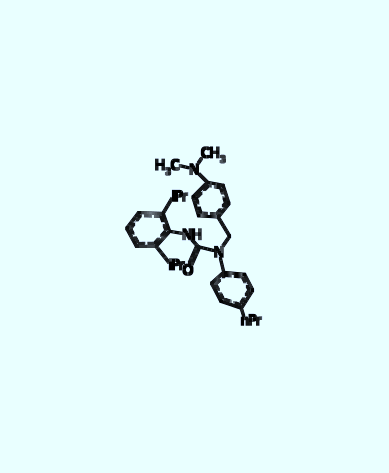 CCCc1ccc(N(Cc2ccc(N(C)C)cc2)C(=O)Nc2c(C(C)C)cccc2C(C)C)cc1